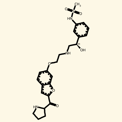 CS(=O)(=O)Nc1cccc([C@@H](O)CNCCOc2ccc3cc(C(=O)C4CCCN4)oc3c2)c1